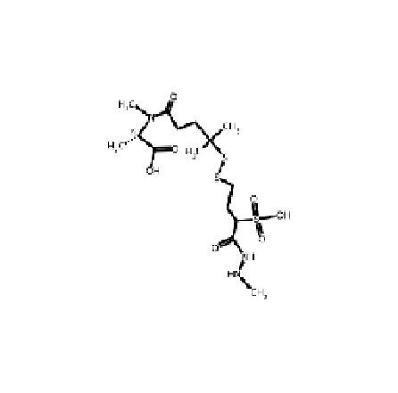 CNNC(=O)C(CCSSC(C)(C)CCC(=O)N(C)[C@@H](C)C(=O)O)S(=O)(=O)O